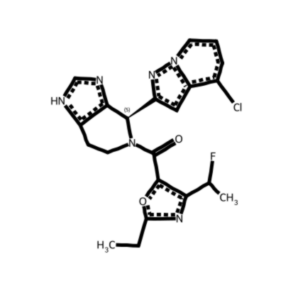 CCc1nc(C(C)F)c(C(=O)N2CCc3[nH]cnc3[C@H]2c2cc3c(Cl)cccn3n2)o1